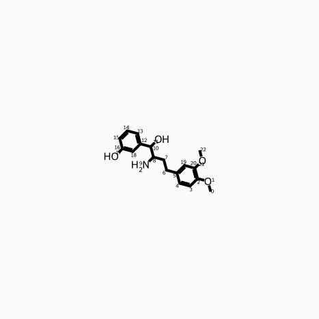 COc1ccc(CCC(N)C(O)c2cccc(O)c2)cc1OC